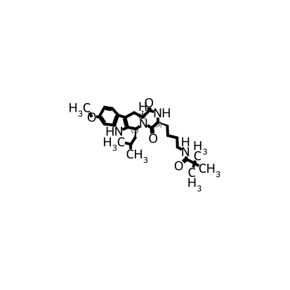 COc1ccc2c3c([nH]c2c1)[C@H](CC(C)C)N1C(=O)[C@H](CCCCNC(=O)C(C)(C)C)NC(=O)[C@@H]1C3